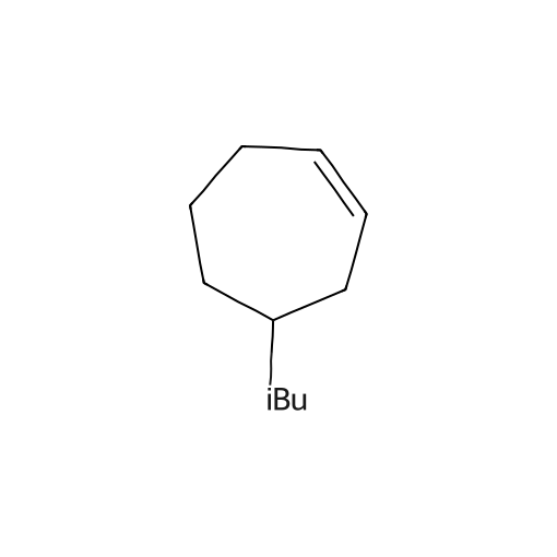 C[CH]C(C)C1CC=CCCC1